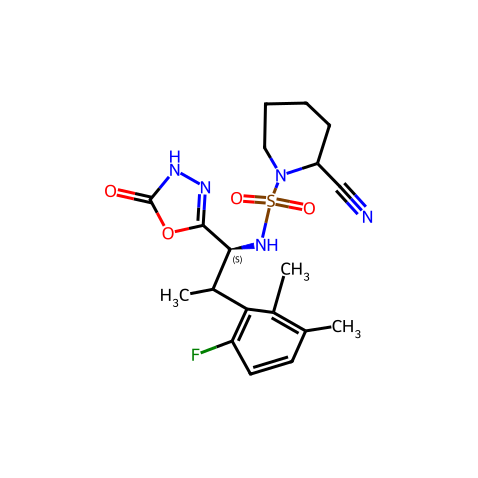 Cc1ccc(F)c(C(C)[C@H](NS(=O)(=O)N2CCCCC2C#N)c2n[nH]c(=O)o2)c1C